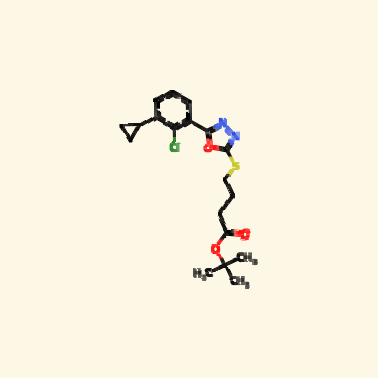 CC(C)(C)OC(=O)CCCSc1nnc(-c2cccc(C3CC3)c2Cl)o1